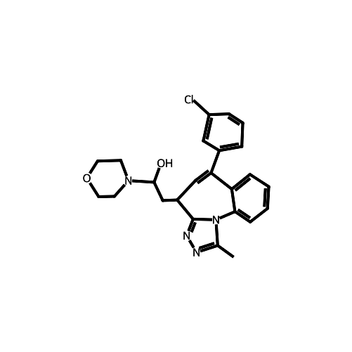 Cc1nnc2n1-c1ccccc1C(c1cccc(Cl)c1)=CC2CC(O)N1CCOCC1